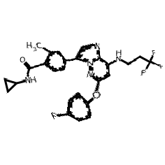 Cc1cc(-c2cnc3c(NCCC(F)(F)F)cc(Oc4ccc(F)cc4)nn23)ccc1C(=O)NC1CC1